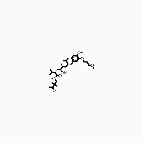 COCCCOc1cc(C[C@@H](C[C@H](C)[C@@H](O)C[C@H](C(=O)NCC(C)(C)C(C)=O)C(C)C)C(C)C)ccc1OC